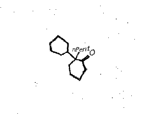 CCCCCC1(C2CCCCC2)CCCCC1=O